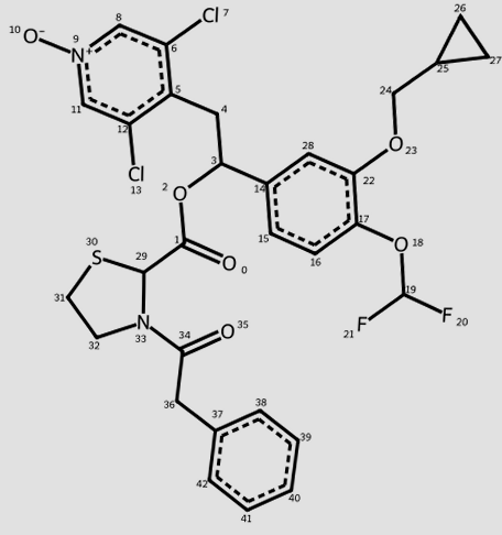 O=C(OC(Cc1c(Cl)c[n+]([O-])cc1Cl)c1ccc(OC(F)F)c(OCC2CC2)c1)C1SCCN1C(=O)Cc1ccccc1